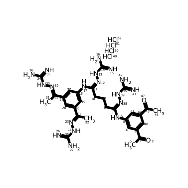 CC(=O)c1cc(NC(CCCC(=NNC(=N)N)Nc2cc(C(C)=NNC(=N)N)cc(C(C)=NNC(=N)N)c2)=NNC(=N)N)cc(C(C)=O)c1.Cl.Cl.Cl.Cl